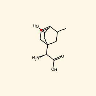 CC1CC2([C@H](N)C(=O)O)CC(O)=C1C(C)C2